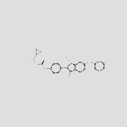 CC(C)n1c(-c2ccc(NC(=O)O[C@H](C)C3CC3)cc2)c(N)c2ccc(Oc3cnccn3)cc21